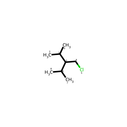 CC(C)C(CCl)C(C)C